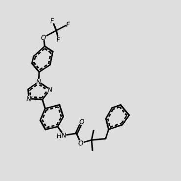 CC(C)(Cc1ccccc1)OC(=O)Nc1ccc(-c2ncn(-c3ccc(OC(F)(F)F)cc3)n2)cc1